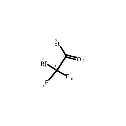 CCC(=O)[C](F)(F)[Rf]